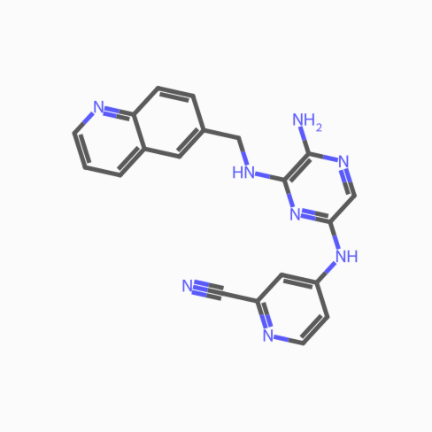 N#Cc1cc(Nc2cnc(N)c(NCc3ccc4ncccc4c3)n2)ccn1